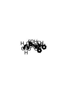 C[C@H](NP(=O)(OCC1OC(n2ccc(=O)[nH]c2=O)[C@](C)(F)[C@@H]1O)Oc1ccccc1)C(=O)OC1CCCCC1